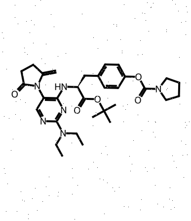 C=C1CCC(=O)N1c1cnc(N(CC)CC)nc1N[C@@H](Cc1ccc(OC(=O)N2CCCC2)cc1)C(=O)OC(C)(C)C